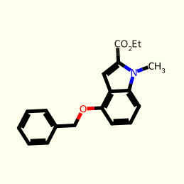 CCOC(=O)c1cc2c(OCc3ccccc3)cccc2n1C